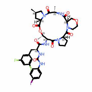 C[C@@H]1C[C@H]2C(=O)O[C@@H](C)[C@H](NC(=O)[C@H](Cc3cc(F)cc(F)c3)NC(=O)Nc3ccc(I)cc3)C(=O)N3CCC[C@H]3C(=O)N3CCOC[C@H]3C(=O)N[C@@H](C)C(=O)N2C1